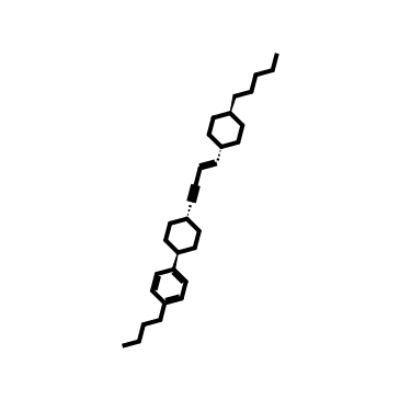 CCCCC[C@H]1CC[C@H](/C=C/C#C[C@H]2CC[C@H](c3ccc(CCCC)cc3)CC2)CC1